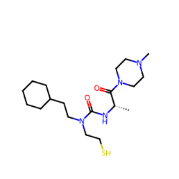 C[C@H](NC(=O)N(CCS)CCC1CCCCC1)C(=O)N1CCN(C)CC1